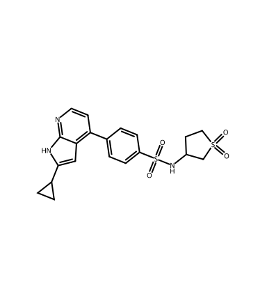 O=S1(=O)CCC(NS(=O)(=O)c2ccc(-c3ccnc4[nH]c(C5CC5)cc34)cc2)C1